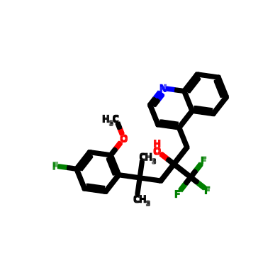 COc1cc(F)ccc1C(C)(C)CC(O)(Cc1ccnc2ccccc12)C(F)(F)F